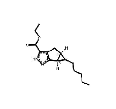 CCCCCC1[C@H]2c3n[nH]c(C(=O)OCC)c3C[C@@H]12